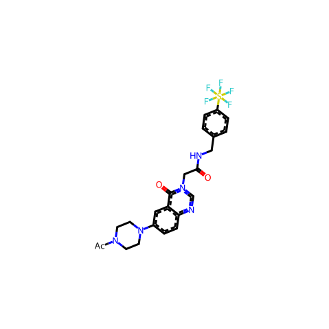 CC(=O)N1CCN(c2ccc3ncn(CC(=O)NCc4ccc(S(F)(F)(F)(F)F)cc4)c(=O)c3c2)CC1